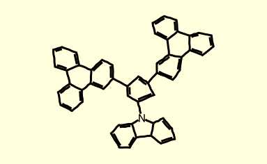 C1=CC2c3ccccc3N(c3cc(-c4ccc5c6ccccc6c6ccccc6c5c4)cc(-c4ccc5c6ccccc6c6ccccc6c5c4)c3)C2C=C1